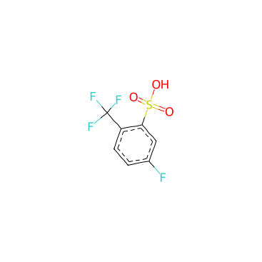 O=S(=O)(O)c1cc(F)ccc1C(F)(F)F